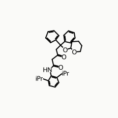 CC(C)c1cccc(C(C)C)c1NC(=O)CC(=O)CC(OC1CCCCO1)(c1ccccc1)c1ccccc1